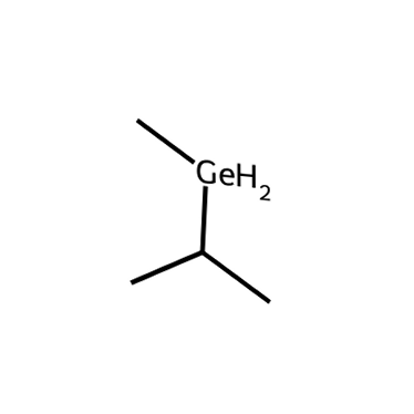 [CH3][GeH2][CH](C)C